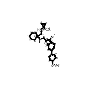 CSc1ccc(-c2ccc3c(Cl)c(CNC4(CNC5(C#N)CC5)CCCCC4)oc3c2)cc1